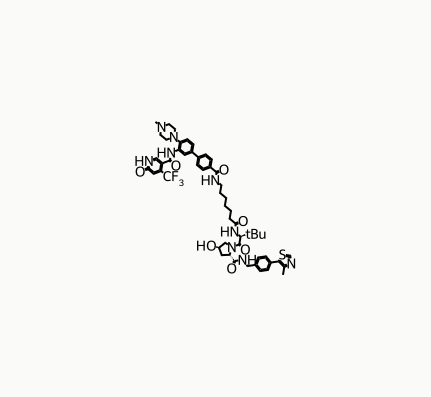 Cc1ncsc1-c1ccc(CNC(=O)[C@@H]2C[C@@H](O)CN2C(=O)[C@@H](NC(=O)CCCCCCNC(=O)c2ccc(-c3ccc(N4CCN(C)CC4)c(NC(=O)c4c[nH]c(=O)cc4C(F)(F)F)c3)cc2)C(C)(C)C)cc1